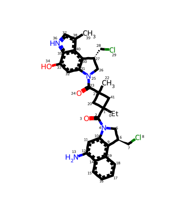 CCC1(C(=O)N2C[C@@H](CCl)c3c2cc(N)c2ccccc32)CC(C)(C(=O)N2C[C@@H](CCl)c3c2cc(O)c2[nH]cc(C)c32)C1